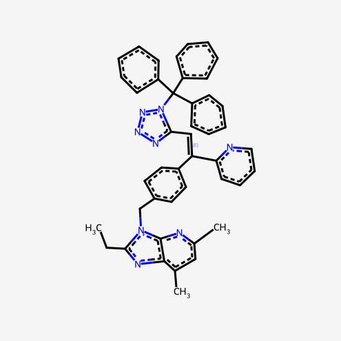 CCc1nc2c(C)cc(C)nc2n1Cc1ccc(/C(=C\c2nnnn2C(c2ccccc2)(c2ccccc2)c2ccccc2)c2ccccn2)cc1